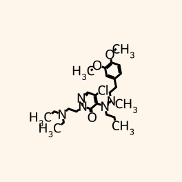 CCCN(c1c(Cl)cnn(CCN(CC)CC)c1=O)N(C)CCc1ccc(OC)c(OC)c1